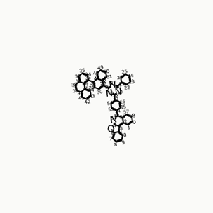 C1=CC2=c3c(oc4ccccc34)=NC(c3ccc(-c4nc(-c5ccccc5)nc(-c5ccc(-c6cccc7ccc8ccccc8c67)c6ccccc56)n4)cc3)C2C=C1